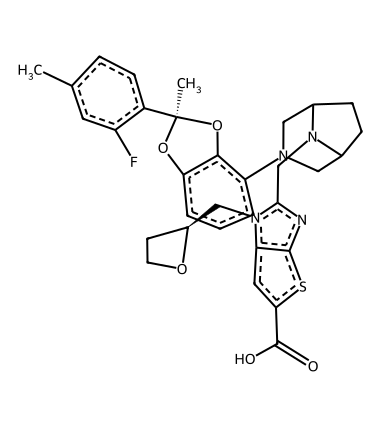 Cc1ccc([C@]2(C)Oc3cccc(N4CC5CCC(C4)N5Cc4nc5sc(C(=O)O)cc5n4C[C@@H]4CCO4)c3O2)c(F)c1